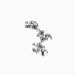 CC(CCCOC(=O)NC1CC(C)(C)CC(C)(CNC(=O)OCC2CCC(COC(=O)NC3CC(C)(C)CC(C)(CN=C=O)C3)CC2)C1)OC(=O)NC1CC(C)(C)CC(C)(CN=C=O)C1